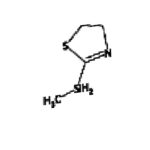 C[SiH2]C1=NCCS1